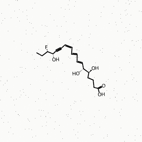 CC[C@H](F)[C@@H](O)C#C\C=C/C=C/C=C/[C@@H](O)[C@@H](O)CCCC(=O)O